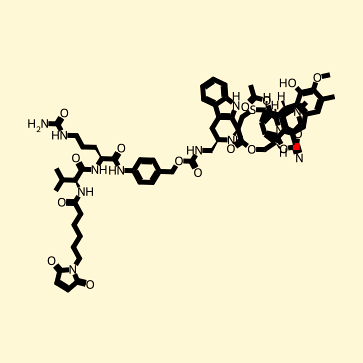 COc1c(C)cc2c(c1O)[C@H]1[C@@H]3[C@@H]4SC[C@]5(N[C@@H](CNC(=O)OCc6ccc(NC(=O)[C@H](CCCNC(N)=O)NC(=O)[C@@H](NC(=O)CCCCCN7C(=O)C=CC7=O)C(C)C)cc6)Cc6c5[nH]c5ccccc65)C(=O)OC[C@@H](c5c6c(c(C)c(OC(C)=O)c54)OCO6)N3C(C#N)(C2)CN1C